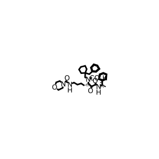 C[C@@H](NC(=O)C(=O)[C@H](CCCCNC(=O)N1CCOCC1)N(CC1(Cc2ccccc2)CCCCC1)C(=O)O)c1ccccc1